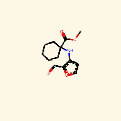 COC(=O)C1(Nc2ccoc2C=O)CCCCC1